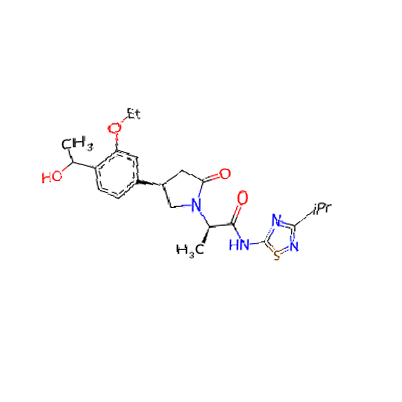 CCOc1cc([C@H]2CC(=O)N([C@H](C)C(=O)Nc3nc(C(C)C)ns3)C2)ccc1C(C)O